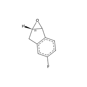 Fc1ccc2c(c1)C[C@@H]1OC21